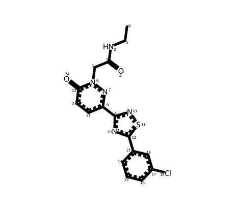 CCNC(=O)Cn1nc(-c2nsc(-c3cccc(Cl)c3)n2)ccc1=O